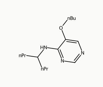 CCCCOc1cncnc1NC(CCC)CCC